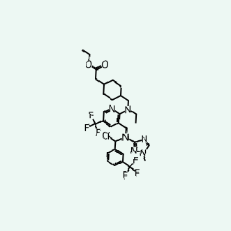 CCOC(=O)CC1CCC(CN(CC)c2ncc(C(F)(F)F)cc2CN(c2ncn(C)n2)C(Cl)c2cccc(C(F)(F)F)c2)CC1